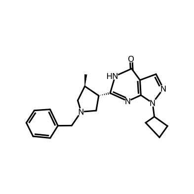 C[C@@H]1CN(Cc2ccccc2)C[C@H]1c1nc2c(cnn2C2CCC2)c(=O)[nH]1